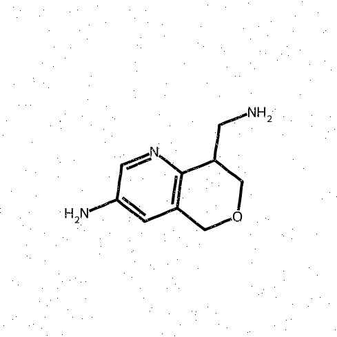 NCC1COCc2cc(N)cnc21